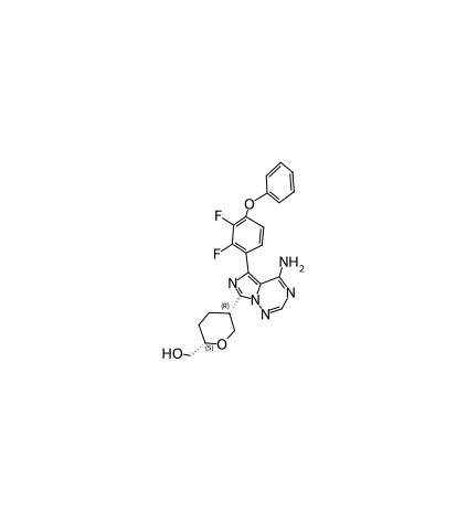 Nc1ncnn2c([C@H]3CC[C@@H](CO)OC3)nc(-c3ccc(Oc4ccccc4)c(F)c3F)c12